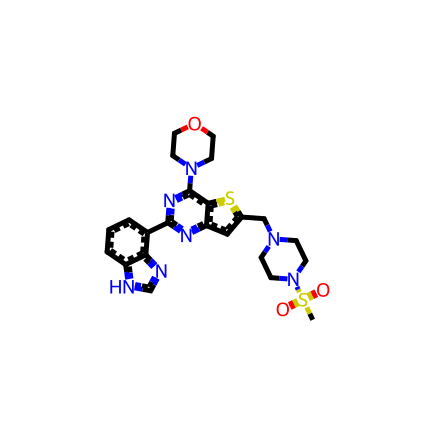 CS(=O)(=O)N1CCN(Cc2cc3nc(-c4cccc5[nH]cnc45)nc(N4CCOCC4)c3s2)CC1